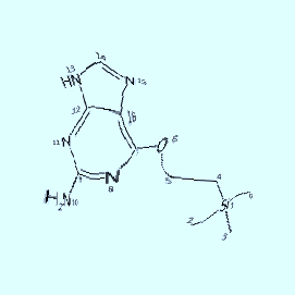 C[Si](C)(C)CCOc1nc(N)nc2[nH]cnc12